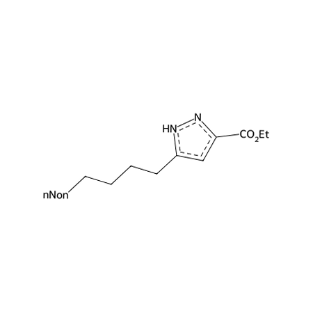 CCCCCCCCCCCCCc1cc(C(=O)OCC)n[nH]1